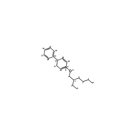 CCCCC(CC)CO[N+]1=CCC(c2ccccc2)C=C1